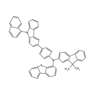 CC1(C)c2ccccc2-c2ccc(N(c3ccc(-c4ccc5c(c4)c4ccccc4n5-c4cccc5ccccc45)cc3)c3cccc4c3sc3ccccc34)cc21